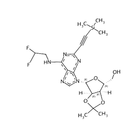 CC1(C)O[C@@H]2[C@H](O1)[C@@H](CO)O[C@H]2n1cnc2c(NCC(F)F)nc(C#C[Si](C)(C)C)nc21